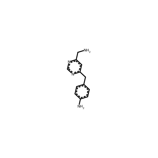 NCc1cc(Cc2ccc(N)cc2)ncn1